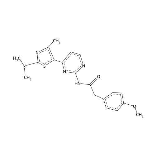 COc1ccc(CC(=O)Nc2nccc(-c3sc(N(C)C)nc3C)n2)cc1